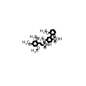 COc1cc(OC)c(C=CS(=O)(=O)Nc2cc(S(=O)(=O)O)c(-c3ccccc3OC)cc2OC)c(OC)c1